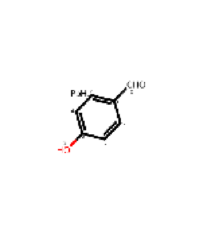 O=Cc1ccc(O)cc1.[PbH2]